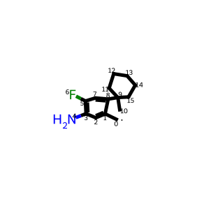 [CH2]c1cc(N)c(F)cc1C1(C)CCCCC1